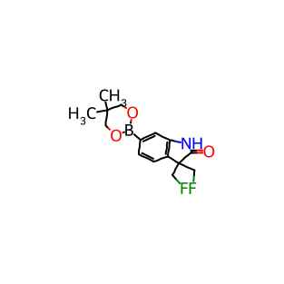 CC1(C)COB(c2ccc3c(c2)NC(=O)C3(CF)CF)OC1